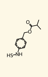 CC(C)C(=O)OCc1ccc(NS)cc1